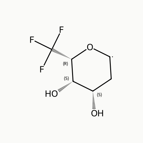 O[C@@H]1[C@H](C(F)(F)F)O[CH]C[C@@H]1O